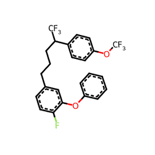 Fc1ccc(CCCC(c2ccc(OC(F)(F)F)cc2)C(F)(F)F)cc1Oc1ccccc1